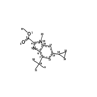 COC(=O)c1nc2c(C(C)(C)C)cc(C3CC3)cc2n1C